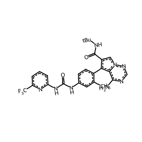 Cc1cc(NC(=O)Nc2cccc(C(F)(F)F)n2)ccc1-c1c(C(=O)NC(C)(C)C)cn2ncnc(N)c12